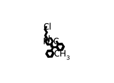 Cc1ccccc1C(=C1CCN(CCCCl)CC1)c1ccccc1C